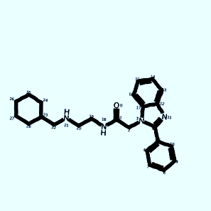 O=C(Cn1c(-c2ccccc2)nc2ccccc21)NCCNCC1CCCCC1